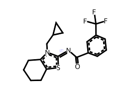 O=C(/N=c1\sc2c(n1CC1CC1)CCCC2)c1cccc(C(F)(F)F)c1